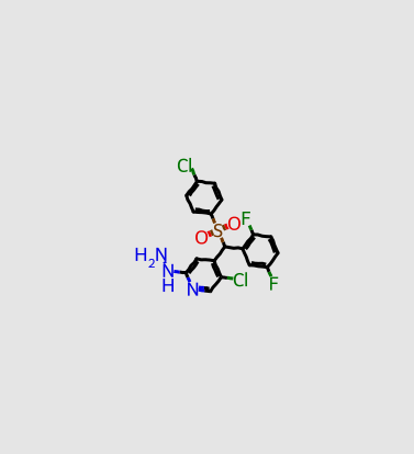 NNc1cc(C(c2cc(F)ccc2F)S(=O)(=O)c2ccc(Cl)cc2)c(Cl)cn1